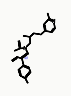 C=C/C(=C\N(CC(C)CCc1ccnc(C)c1)C(=C)C)c1ccc(C)cc1